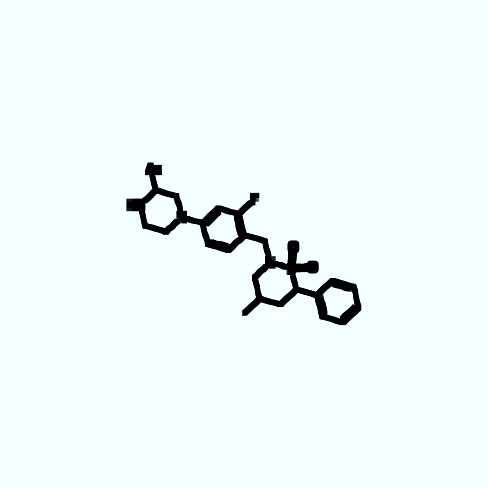 CC(=O)C1CN(c2ccc(CN3CC(C)CC(c4ccccc4)S3(=O)=O)c(F)c2)CCN1